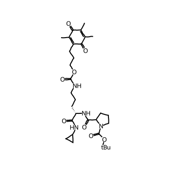 CC1=C(C)C(=O)C(CCCOC(=O)NCCC[C@H](NC(=O)C2CCCN2C(=O)OC(C)(C)C)C(=O)NC2CC2)=C(C)C1=O